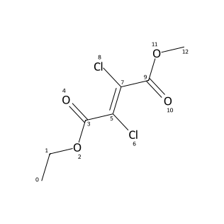 CCOC(=O)/C(Cl)=C(\Cl)C(=O)OC